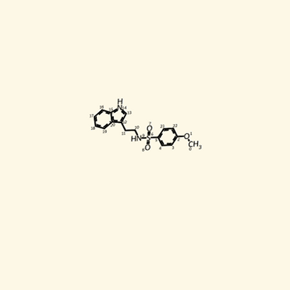 COc1ccc(S(=O)(=O)NCCc2c[nH]c3ccccc23)cc1